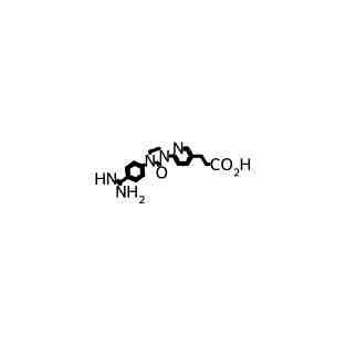 N=C(N)c1ccc(N2CCN(c3ccc(CCC(=O)O)cn3)C2=O)cc1